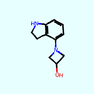 OC1CN(c2cccc3c2CCN3)C1